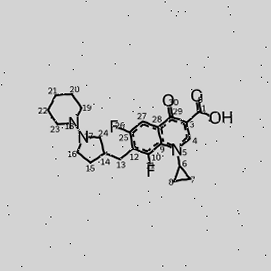 O=C(O)c1cn(C2CC2)c2c(F)c(CC3CCN(N4CCCCC4)C3)c(F)cc2c1=O